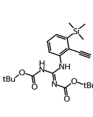 C#Cc1c(NC(=NC(=O)OC(C)(C)C)NC(=O)OC(C)(C)C)cccc1[Si](C)(C)C